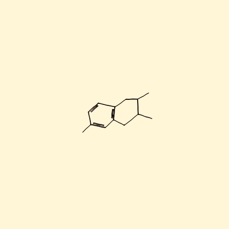 CC1Cc2ccc(Br)cc2CC1C